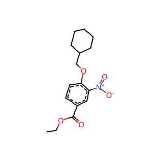 CCOC(=O)c1ccc(OCC2CCCCC2)c([N+](=O)[O-])c1